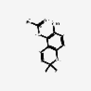 CC1(C)C=Cc2c(ccc(C=O)c2OC(=O)C(C)(C)C)O1